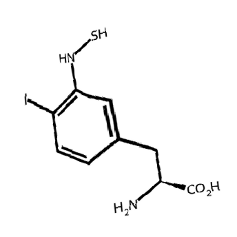 N[C@@H](Cc1ccc(I)c(NS)c1)C(=O)O